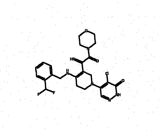 N=C(C(=O)N1CCOCC1)C1=C(NCc2ccccc2C(F)F)CCN(c2cn[nH]c(=O)c2Cl)C1